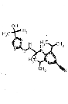 CC(C)c1cc(C#N)cc(C(C)C)c1NC(=O)NSc1nc(C(C)(C)O)cs1